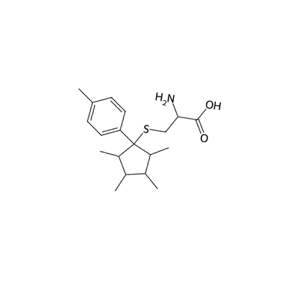 Cc1ccc(C2(SCC(N)C(=O)O)C(C)C(C)C(C)C2C)cc1